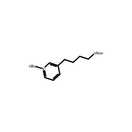 CCCCCCCCCCCCCc1ccc[n+](CCCC)c1